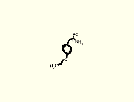 C=CCOc1ccc(C[C@H](N)C(C)=O)cc1